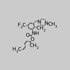 C=C(/C=C\C=C/C)OC(=O)Nc1cc(C(F)(F)F)cc(CN2CCN(C)CC2)c1C